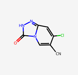 N#Cc1cn2c(=O)[nH]nc2cc1Cl